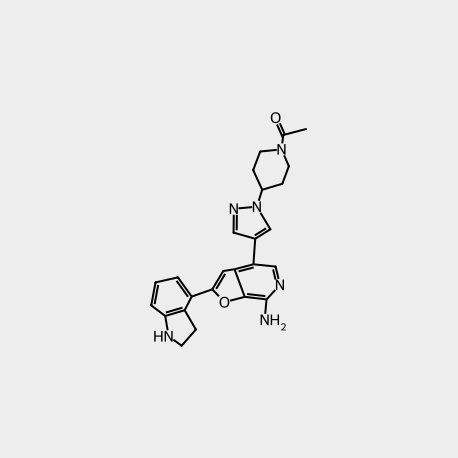 CC(=O)N1CCC(n2cc(-c3cnc(N)c4oc(-c5cccc6c5CCN6)cc34)cn2)CC1